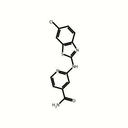 NC(=O)c1ccnc(Nc2nc3ccc(Cl)cc3s2)c1